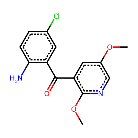 COc1cnc(OC)c(C(=O)c2cc(Cl)ccc2N)c1